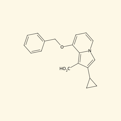 O=C(O)c1c(C2CC2)cn2cccc(OCc3ccccc3)c12